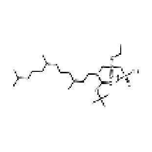 CCOP(=O)(CN(CC=C(C)CCC=C(C)CCC=C(C)C)C(=O)OC(C)(C)C)CP(=O)(O)O